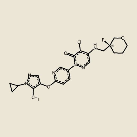 Cc1c(Oc2ccc(-n3ncc(NC[C@@]4(F)CCCOC4)c(Cl)c3=O)cn2)cnn1C1CC1